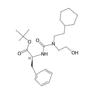 CC(C)(C)OC(=O)[C@H](Cc1ccccc1)NC(=O)N(CCO)CCC1CCCCC1